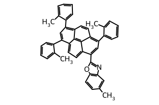 Cc1ccc2oc(-c3cc(-c4ccccc4C)c4ccc5c(-c6ccccc6C)cc(-c6ccccc6C)c6ccc3c4c65)nc2c1